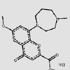 COc1cc(N2CCCN(C)CC2)c2oc(C(=O)O)cc(=O)c2c1.Cl